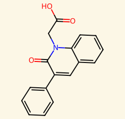 O=C(O)Cn1c(=O)c(-c2ccccc2)cc2ccccc21